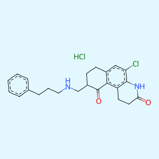 Cl.O=C1CCc2c(c(Cl)cc3c2C(=O)C(CNCCCc2ccccc2)CC3)N1